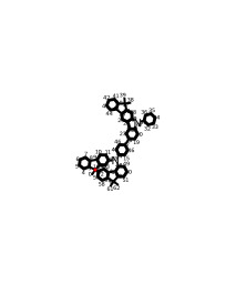 CC1(C)c2ccccc2-c2ccc(N(c3ccc(-c4ccc5c(c4)c4cc6c(cc4n5-c4ccccc4)C(C)(C)c4ccccc4-6)cc3)c3cccc4c3-c3ccccc3C4(C)C)cc21